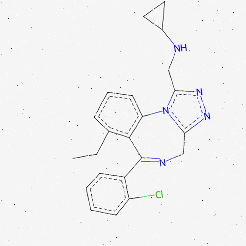 CCc1cccc2c1C(c1ccccc1Cl)=NCc1nnc(CNC3CC3)n1-2